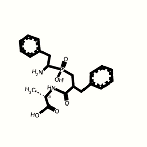 C[C@H](NC(=O)C(Cc1ccccc1)CP(=O)(O)C(N)Cc1ccccc1)C(=O)O